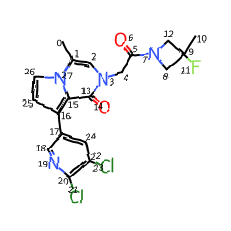 Cc1cn(CC(=O)N2CC(C)(F)C2)c(=O)c2c(-c3cnc(Cl)c(Cl)c3)ccn12